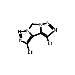 CCc1nnn2c1-c1c(CC)nnn1C2